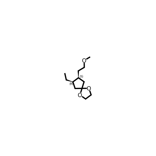 CC[C@@H]1CC2(C[C@@H]1CCOC)OCCO2